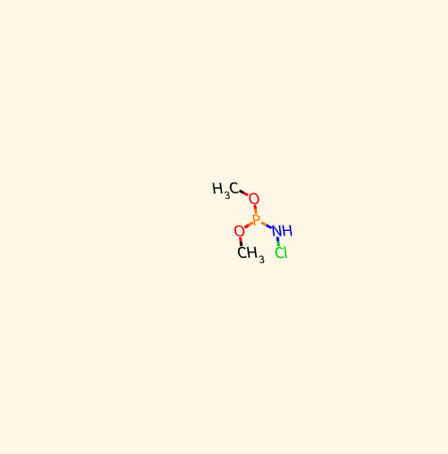 COP(NCl)OC